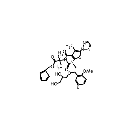 COc1ccc(F)cc1[C@@H](Cn1c(=O)n(C(C)(C)C(=O)OCc2ccccc2)c(=O)c2c(C)c(-n3nccn3)sc21)OCC(O)CO